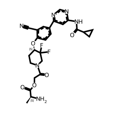 C[C@H](N)C(=O)OCC(=O)N1CC[C@H](Oc2ccc(-c3cc(NC(=O)C4CC4)ncn3)cc2C#N)C(F)(F)C1